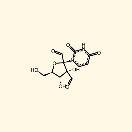 O=C[C@@]1(O)[C@H](O)[C@@H](CO)O[C@@]1(C=O)n1ccc(=O)[nH]c1=O